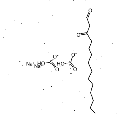 CCCCCCCCCCCC(=O)CC=O.O=S([O-])O.O=S([O-])O.[Na+].[Na+]